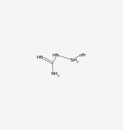 CCC[SiH2]NC(=N)N